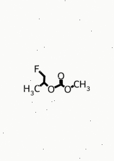 COC(=O)OC(C)CF